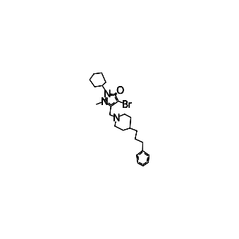 Cn1c(CN2CCC(CCCc3ccccc3)CC2)c(Br)c(=O)n1C1CCCCC1